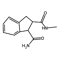 CNC(=O)C1Cc2ccccc2C1C(N)=O